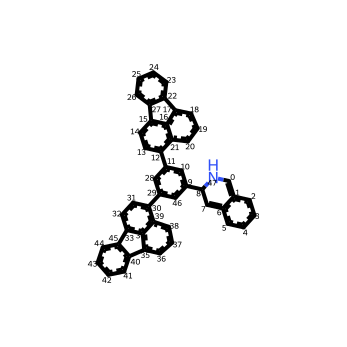 C1=c2ccccc2=CC(c2cc(-c3ccc4c5c(cccc35)-c3ccccc3-4)cc(-c3ccc4c5c(cccc35)-c3ccccc3-4)c2)N1